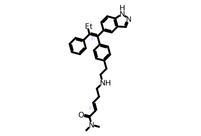 CC/C(=C(/c1ccc(CCNCC/C=C/C(=O)N(C)C)cc1)c1ccc2[nH]ncc2c1)c1ccccc1